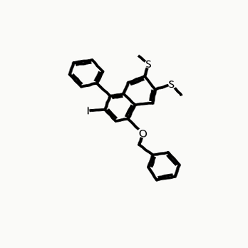 CSc1cc2c(OCc3ccccc3)cc(I)c(-c3ccccc3)c2cc1SC